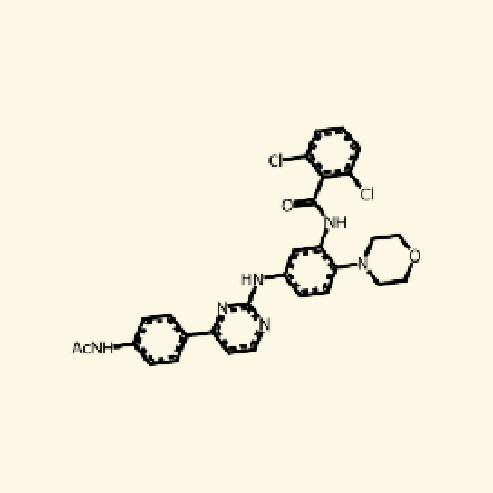 CC(=O)Nc1ccc(-c2ccnc(Nc3ccc(N4CCOCC4)c(NC(=O)c4c(Cl)cccc4Cl)c3)n2)cc1